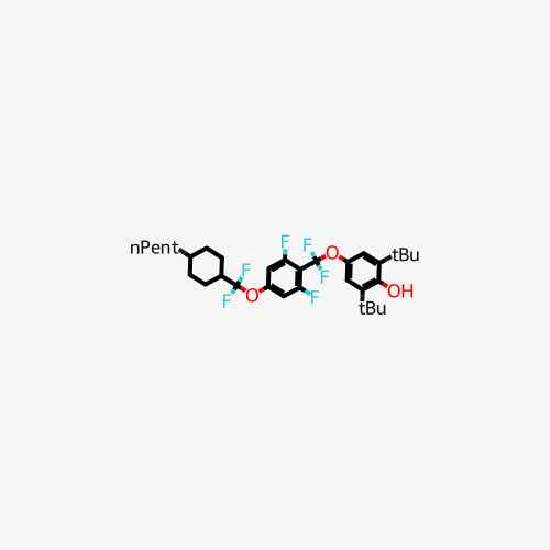 CCCCCC1CCC(C(F)(F)Oc2cc(F)c(C(F)(F)Oc3cc(C(C)(C)C)c(O)c(C(C)(C)C)c3)c(F)c2)CC1